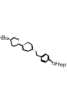 CCCCCCCc1ccc(CC[C@H]2CC[C@H]([C@H]3CC[C@H](CCCC)CC3)CC2)cc1